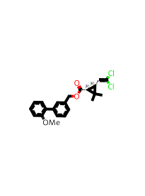 COc1ccccc1-c1cccc(COC(=O)[C@@H]2[C@H](C=C(Cl)Cl)C2(C)C)c1